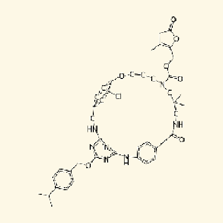 CC1=C(COC(=O)N2CCCOc3ccc(cc3Cl)CNc3nc(nc(OCc4ccc(C(C)C)cc4)n3)Nc3ccc(cc3)C(=O)NCC(C)(C)C2)OC(=O)C1